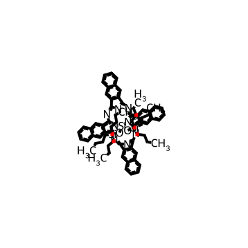 CCCC[Si](CCCC)(CCCC)O[Si]1(O[Si](CCCC)(CCCC)CCCC)n2c3c4cc5ccccc5cc4c2/N=C2N=C(/N=c4/c5cc6ccccc6cc5/c(n41)=N/C1=NC(=N\3)/c3cc4ccccc4cc31)c1cc3ccccc3cc1\2